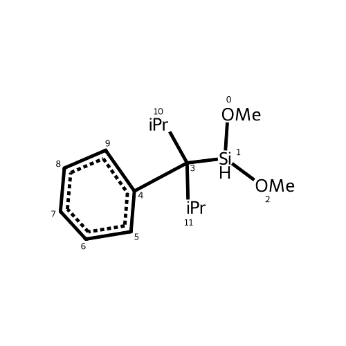 CO[SiH](OC)C(c1ccccc1)(C(C)C)C(C)C